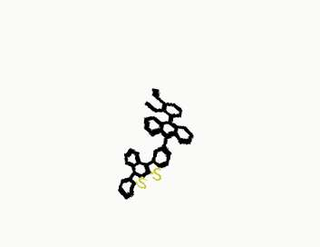 C=CC1C=CC=C(c2c3ccccc3c(C3=CC=C4Sc5c(c6ccccc6c6c5sc5ccccc56)C4C3)c3ccccc23)C1C=C